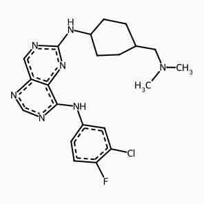 CN(C)CC1CCC(Nc2ncc3ncnc(Nc4ccc(F)c(Cl)c4)c3n2)CC1